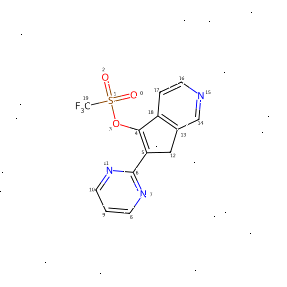 O=S(=O)(OC1=C(c2ncccn2)Cc2cnccc21)C(F)(F)F